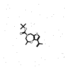 C=C(C)c1csc2c1OC(C)CN(C(=O)OC(C)(C)C)C2